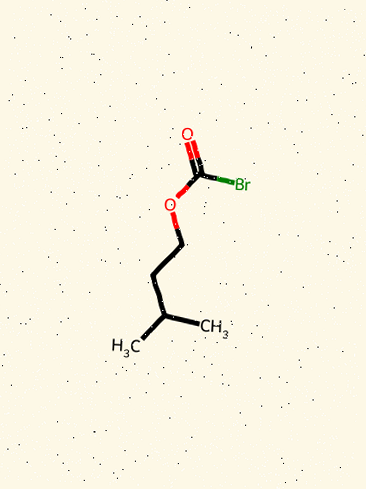 CC(C)CCOC(=O)Br